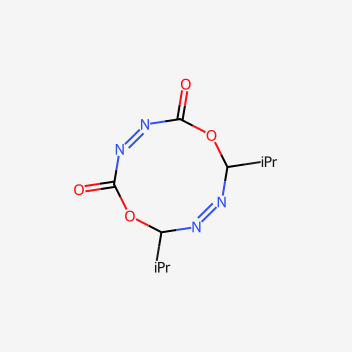 CC(C)C1N=NC(C(C)C)OC(=O)N=NC(=O)O1